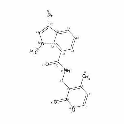 Cc1cc[nH]c(=O)c1CNC(=O)c1cccc2c(C(C)C)cn(C)c12